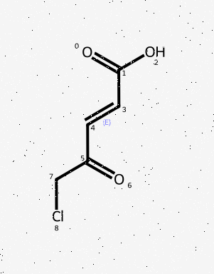 O=C(O)/C=C/C(=O)CCl